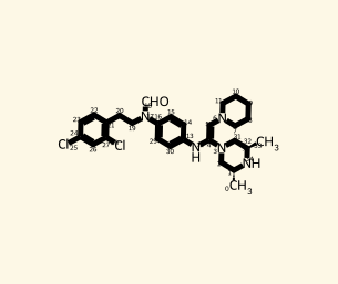 C[C@@H]1CN(/C(=C\N2CCCCC2)Nc2ccc(N(C=O)CCc3ccc(Cl)cc3Cl)cc2)C[C@@H](C)N1